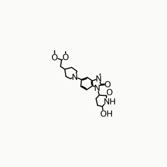 COC(CC1CCN(c2ccc3c(c2)n(C)c(=O)n3C2CCC(O)NC2=O)CC1)OC